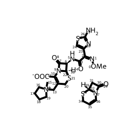 CO/N=C(\C(=O)N[C@@H]1C(=O)N2C(C(=O)[O-])=C(C[N+]3(C)CCCC3)CS[C@H]12)c1csc(N)n1.O=C1C[C@H]2SCC=CN12